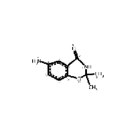 CC1(C)NC(=O)c2cc(N)ccc2O1